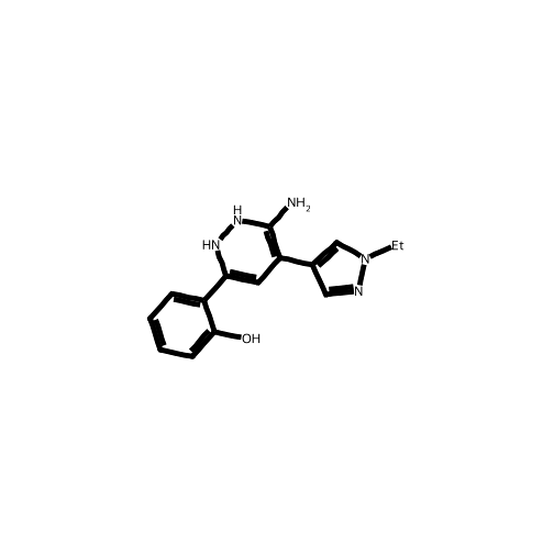 CCn1cc(C2=C(N)NNC(c3ccccc3O)=C2)cn1